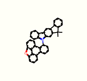 CC1(C)c2ccccc2-c2cc3c4ccccc4n(-c4cccc5c6cccc7oc8cccc(c45)c8c76)c3cc21